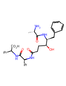 CC(C)C(NC(=O)C(NC(=O)CC[C@H](O)[C@H](Cc1ccccc1)NC(=O)[C@H](C)N)C(C)C)C(=O)O